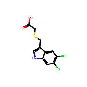 O=C(O)CSCc1c[nH]c2cc(Cl)c(Cl)cc12